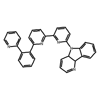 C1=CC2C(N=C1)c1ccccc1N2c1cccc(-c2cccc(-c3ccccc3-c3ccccn3)n2)n1